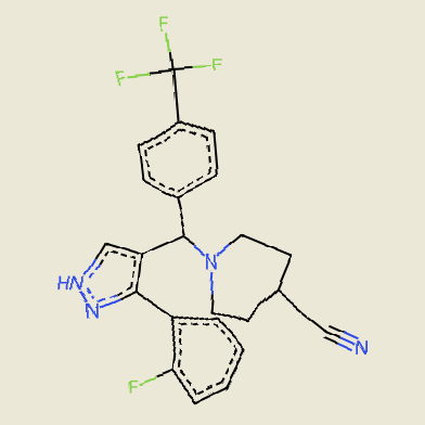 N#CC1CCN(C(c2ccc(C(F)(F)F)cc2)c2c[nH]nc2-c2ccccc2F)CC1